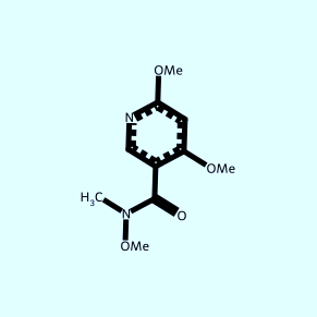 COc1cc(OC)c(C(=O)N(C)OC)cn1